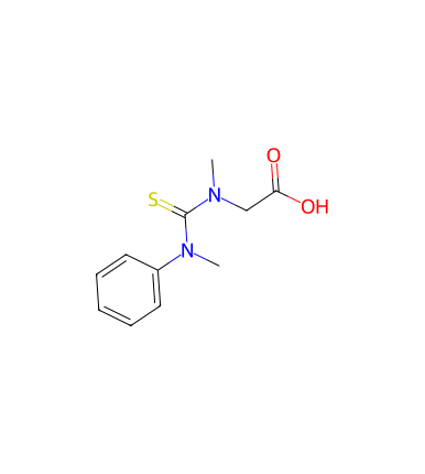 CN(CC(=O)O)C(=S)N(C)c1ccccc1